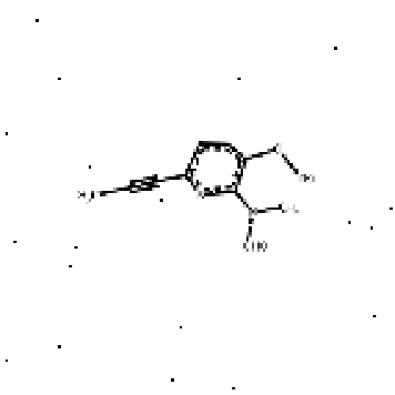 CC#Cc1ccc(OCCC)c(N(C)C=O)n1